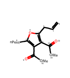 C=CCc1oc(CCCCC)c(C(=O)OC)c1C(=O)OC